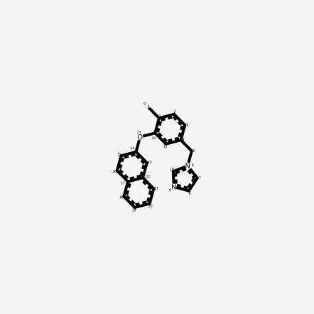 Ic1ccc(Cn2ccnc2)cc1Oc1ccc2ccccc2c1